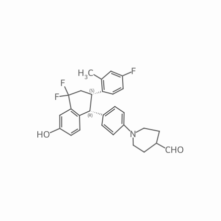 Cc1cc(F)ccc1[C@H]1CC(F)(F)c2cc(O)ccc2[C@H]1c1ccc(N2CCC(C=O)CC2)cc1